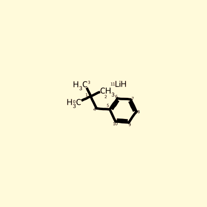 CC(C)(C)Cc1cc[c]cc1.[LiH]